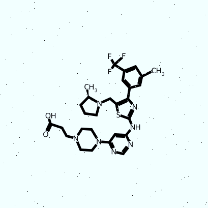 Cc1cc(-c2nc(Nc3cc(N4CCN(CCC(=O)O)CC4)ncn3)sc2CN2CCC[C@H]2C)cc(C(F)(F)F)c1